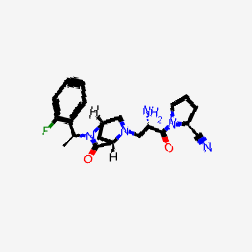 C[C@@H](c1ccccc1F)N1C(=O)[C@@H]2C[C@H]1CN2C[C@H](N)C(=O)N1CCC[C@H]1C#N